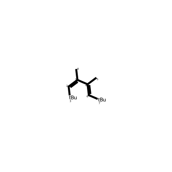 CC(=CC(C)(C)C)C(C)=CC(C)(C)C